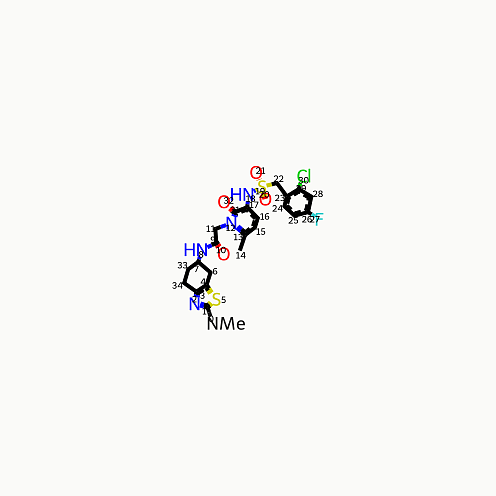 CNc1nc2c(s1)CC(NC(=O)Cn1c(C)ccc(NS(=O)(=O)Cc3ccc(F)cc3Cl)c1=O)CC2